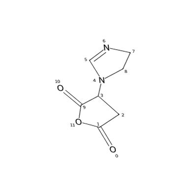 O=C1CC(N2C=NCC2)C(=O)O1